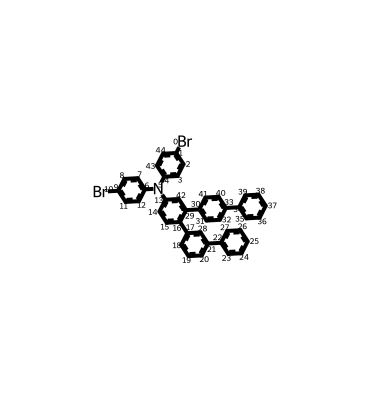 Brc1ccc(N(c2ccc(Br)cc2)c2ccc(-c3cccc(-c4ccccc4)c3)c(-c3ccc(-c4ccccc4)cc3)c2)cc1